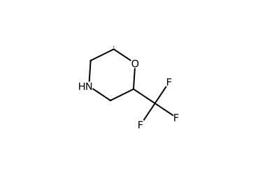 FC(F)(F)C1CNC[CH]O1